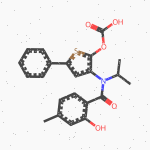 Cc1ccc(C(=O)N(c2cc(-c3ccccc3)sc2OC(=O)O)C(C)C)c(O)c1